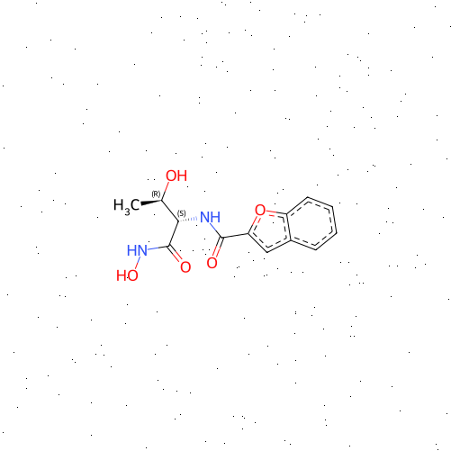 C[C@@H](O)[C@H](NC(=O)c1cc2ccccc2o1)C(=O)NO